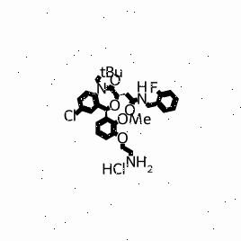 COc1c(OCCN)cccc1[C@@H]1O[C@@H](CC(=O)NCc2ccccc2F)C(=O)N(CC(C)(C)C)c2ccc(Cl)cc21.Cl